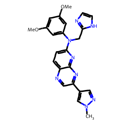 COc1cc(OC)cc(N(Cc2ncc[nH]2)c2ccc3ncc(-c4cnn(C)c4)nc3n2)c1